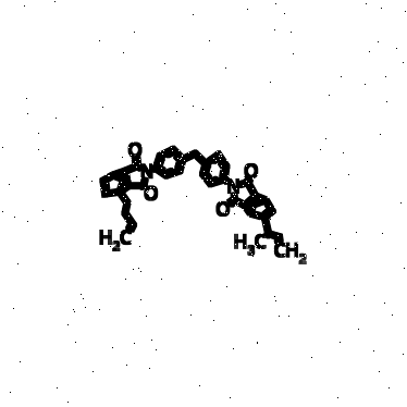 C=CCCC12C=CC(C1)C1C(=O)N(c3ccc(Cc4ccc(N5C(=O)C6C7C=C(C(C)C=C)C(C7)C6C5=O)cc4)cc3)C(=O)C12